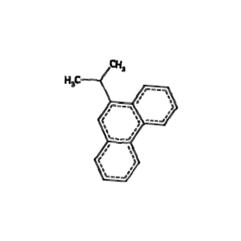 CC(C)c1cc2ccccc2c2ccccc12